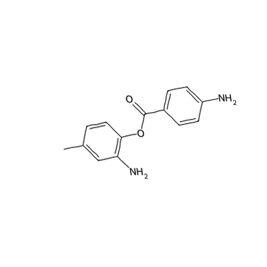 Cc1ccc(OC(=O)c2ccc(N)cc2)c(N)c1